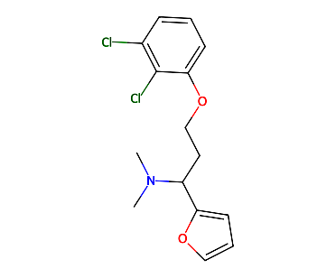 CN(C)C(CCOc1cccc(Cl)c1Cl)c1ccco1